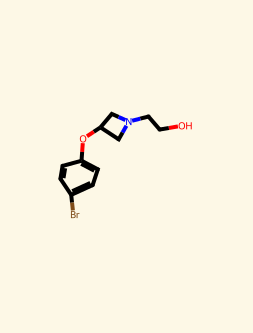 OCCN1CC(Oc2ccc(Br)cc2)C1